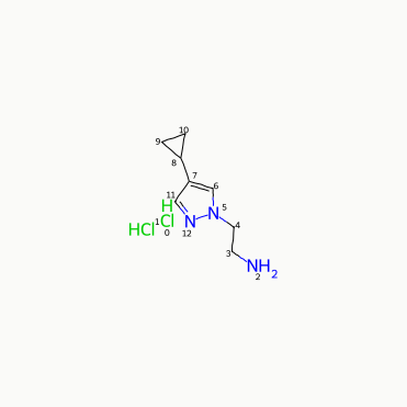 Cl.Cl.NCCn1cc(C2CC2)cn1